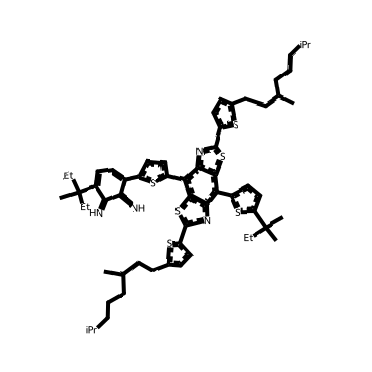 CCC(C)(CC)C1=CC=C(c2ccc(-c3c4nc(-c5ccc(CCC(C)CCCC(C)C)s5)sc4c(-c4ccc(C(C)(C)CC)s4)c4nc(-c5ccc(CCC(C)CCCC(C)C)s5)sc34)s2)C(=N)C1=N